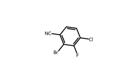 N#Cc1ccc(Cl)c(F)c1Br